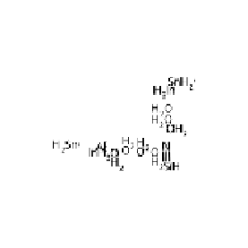 N#[SiH].O.O.O.O.O.O.O.[Al].[InH3].[InH3].[SnH2].[SnH2]